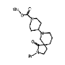 CC(C)N1CCC2(CCCN(C3CCN(C(=O)OC(C)(C)C)CC3)C2)C1=O